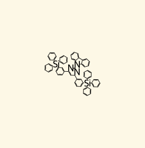 c1ccc([Si](c2ccccc2)(c2ccccc2)c2cccc(-c3cc(-c4cccc([Si](c5ccccc5)(c5ccccc5)c5ccccc5)c4)nc(-n4c5ccccc5c5ccccc54)n3)c2)cc1